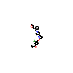 O=C(c1ccc(COc2cccc(C3CCN(CC4C=CC=C[C@@H]4CC4CCO4)CC3)n2)c(Cl)c1)C1CC1